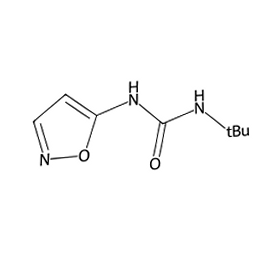 CC(C)(C)NC(=O)Nc1ccno1